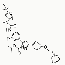 CC(C)OC(=O)n1nc(-c2ccc(OCCN3CCOCC3)cc2)cc1-c1ccc(NC(=O)Nc2cc(C(C)(C)C)on2)c(F)c1